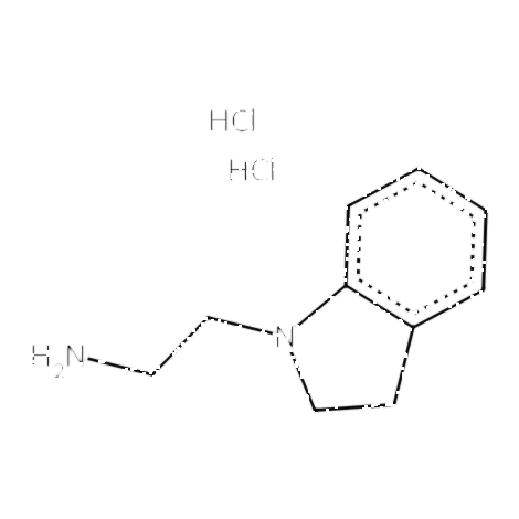 Cl.Cl.NCCN1CCc2ccccc21